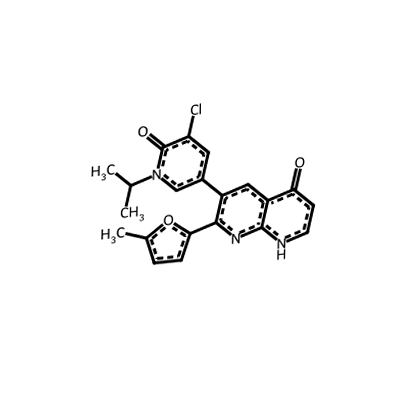 Cc1ccc(-c2nc3[nH]ccc(=O)c3cc2-c2cc(Cl)c(=O)n(C(C)C)c2)o1